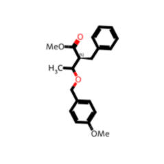 COC(=O)[C@@H](Cc1ccccc1)C(C)OCc1ccc(OC)cc1